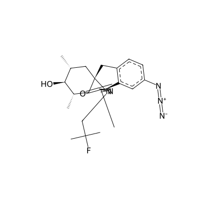 CC1=N[C@@]2(C(=O)N1CC(C)(C)F)c1cc(N=[N+]=[N-])ccc1C[C@@]21C[C@@H](C)[C@H](O)[C@@H](C)C1